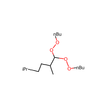 CCCCOOC(OOCCCC)C(C)CCC(C)C